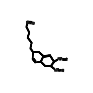 CCCCCC1C=C2CC(CCCCCOC)C=CC2CC1CCCCC